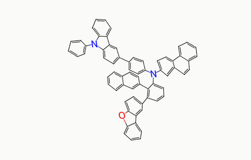 c1ccc(-n2c3ccccc3c3cc(-c4ccc(N(c5ccc6c(ccc7ccccc76)c5)c5cccc(-c6ccc7oc8ccccc8c7c6)c5-c5ccc6ccccc6c5)cc4)ccc32)cc1